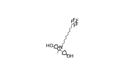 Cc1c(-c2ccc(O)cc2)n(CCCCCCCCCCCCC(F)(F)C(F)(F)F)c2ccc(O)cc12